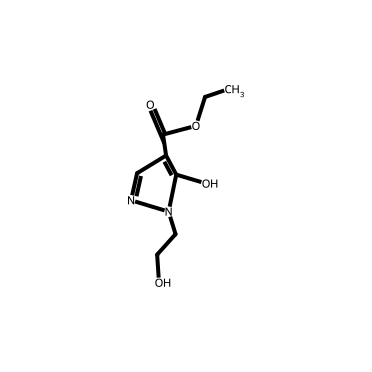 CCOC(=O)c1cnn(CCO)c1O